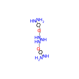 N=C(NCCCOCc1ccc(C(=N)N)cc1)NCCCOc1ccc(C(=N)N)cc1